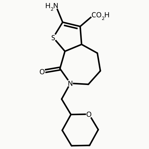 NC1=C(C(=O)O)C2CCCN(CC3CCCCO3)C(=O)C2S1